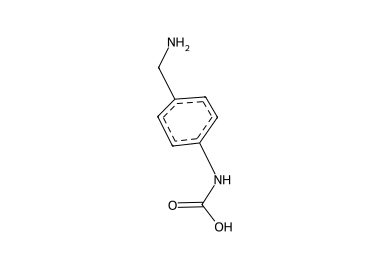 NCc1ccc(NC(=O)O)cc1